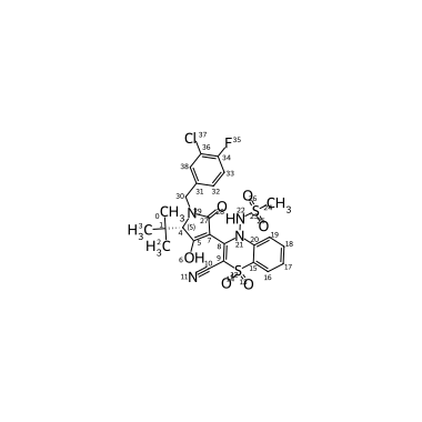 CC(C)(C)[C@H]1C(O)=C(C2=C(C#N)S(=O)(=O)c3ccccc3N2NS(C)(=O)=O)C(=O)N1Cc1ccc(F)c(Cl)c1